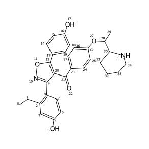 CCc1cc(O)ccc1-c1noc(-c2ccc(O)cc2)c1C(=O)c1ccc(OC(C)C2CCCCN2)cc1